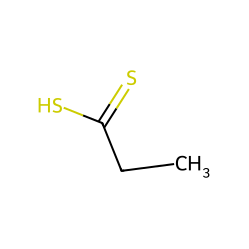 CCC(=S)S